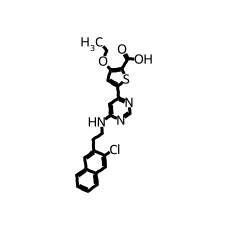 CCOc1cc(-c2cc(NCCc3cc4ccccc4cc3Cl)ncn2)sc1C(=O)O